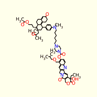 CC[C@@]1(O)C(=O)OCc2c1cc1n(c2=O)Cc2cc3c(COCC(C)C)c(OC(=O)N4CCN(CCCCCCN(C)c5ccc(C6CC(C)(CC(C)=O)[C@@H](CCCOC(C)=O)C7CCC8=CC(=O)CCC8=C67)cc5)CC4)ccc3nc2-1